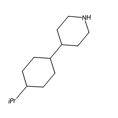 CC(C)C1CCC(C2CCNCC2)CC1